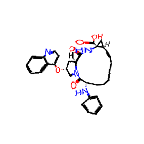 O=C1N[C@]2(C(=O)O)C[C@H]2/C=C\CCCCC[C@H](Nc2ccccc2)C(=O)N2C[C@H](Oc3ccnc4ccccc34)C[C@@H]12